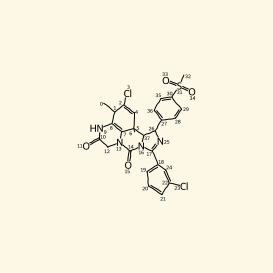 CC1C(Cl)=CC2(C)C3=C1NC(=O)CN3C(=O)N1C(c3cccc(Cl)c3)=NC(c3ccc(S(C)(=O)=O)cc3)C12